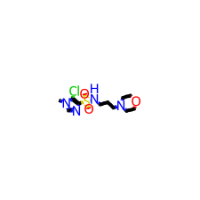 Cn1cnc(S(=O)(=O)NCCCN2CCOCC2)c1Cl